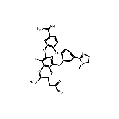 CN1CCN=C1c1cccc(Oc2nc(Oc3cc(C(=N)N)ccc3O)c(F)c(OC(CCC(N)=O)C(=O)O)c2F)c1